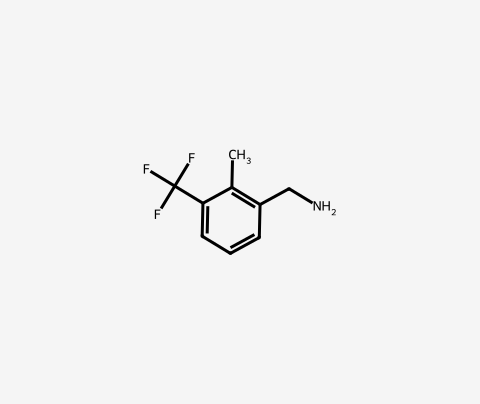 Cc1c(CN)cccc1C(F)(F)F